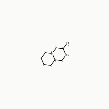 CCC1CN2CCCCC2CO1